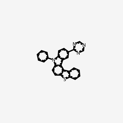 c1ccc(-n2c3ccc(-c4ncncn4)cc3c3c4c(ccc32)sc2ccccc24)cc1